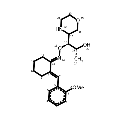 COc1ccccc1/C=C1\CCCC\C1=N/O[C@@H](C1COCCN1)[C@@H](C)O